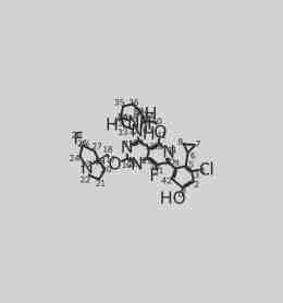 Oc1cc(Cl)c(C2CC2)c(-c2nc3c4c(nc(OC[C@@]56CCCN5C[C@@H](F)C6)nc4c2F)N2C[C@H]4CC[C@H](N4)[C@@H]2CO3)c1